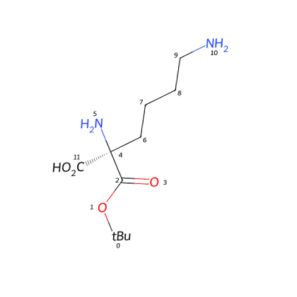 CC(C)(C)OC(=O)[C@@](N)(CCCCN)C(=O)O